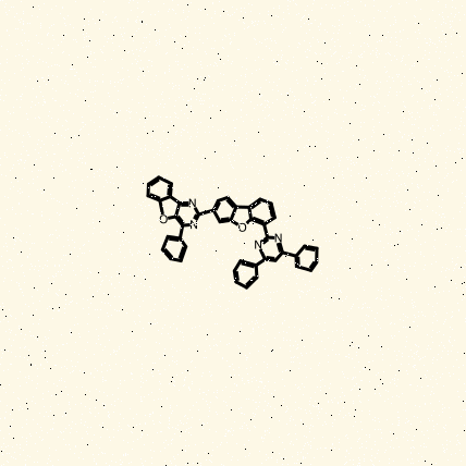 c1ccc(-c2cc(-c3ccccc3)nc(-c3cccc4c3oc3cc(-c5nc(-c6ccccc6)c6oc7ccccc7c6n5)ccc34)n2)cc1